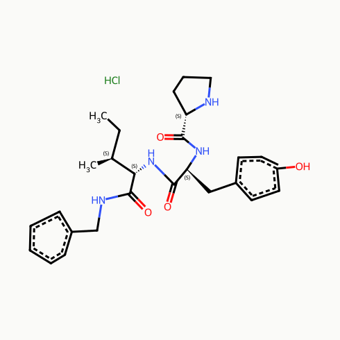 CC[C@H](C)[C@H](NC(=O)[C@H](Cc1ccc(O)cc1)NC(=O)[C@@H]1CCCN1)C(=O)NCc1ccccc1.Cl